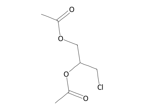 CC(=O)OCC(CCl)OC(C)=O